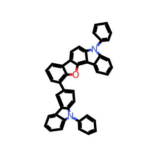 c1ccc(-n2c3ccccc3c3cc(-c4cccc5c4oc4c5ccc5c4c4ccccc4n5-c4ccccc4)ccc32)cc1